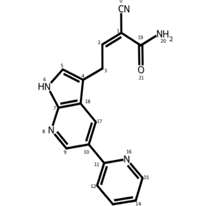 N#CC(=CCc1c[nH]c2ncc(-c3ccccn3)cc12)C(N)=O